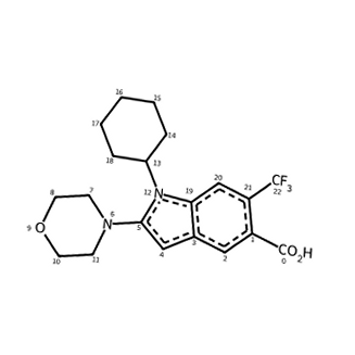 O=C(O)c1cc2cc(N3CCOCC3)n(C3CCCCC3)c2cc1C(F)(F)F